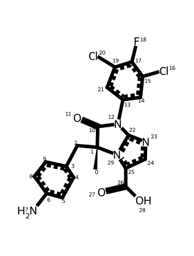 C[C@@]1(Cc2ccc(N)cc2)C(=O)N(c2cc(Cl)c(F)c(Cl)c2)c2ncc(C(=O)O)n21